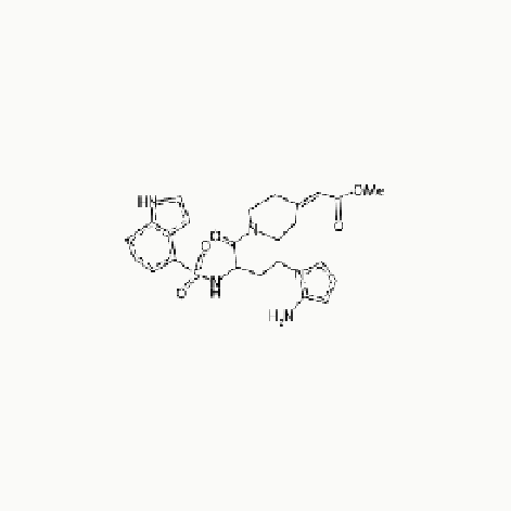 COC(=O)C=C1CCN(C(=O)C(CCn2cccc2N)NS(=O)(=O)c2cccc3[nH]ccc23)CC1